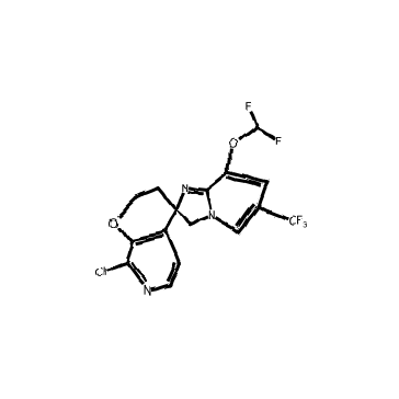 FC(F)OC1=CC(C(F)(F)F)=CN2C[C@@]3(CCOc4c3ccnc4Cl)N=C12